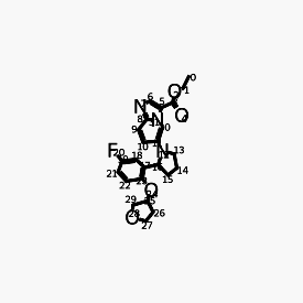 CCOC(=O)c1cnc2ccc(N3CCCC3c3cc(F)ccc3OC3CCOC3)cn12